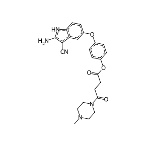 CN1CCN(C(=O)CCC(=O)Oc2ccc(Oc3ccc4[nH]c(N)c(C#N)c4c3)cc2)CC1